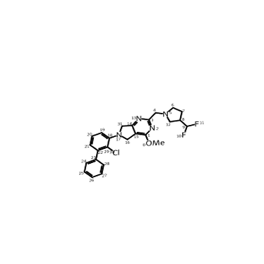 COc1nc(CN2CCC(C(F)F)C2)nc2c1CN(c1cccc(-c3ccccc3)c1Cl)C2